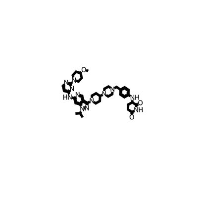 COC1CCN(c2nccc(Nc3cc4c(cn3)c(N3CCC(N5CCN(Cc6ccc(NC7CCC(=O)NC7=O)cc6)CC5)CC3)nn4C(C)C)n2)CC1